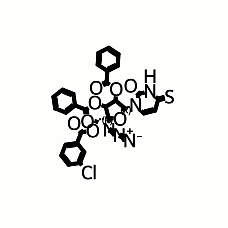 [N-]=[N+]=N[C@]1(COC(=O)c2cccc(Cl)c2)O[C@@H](n2ccc(=S)[nH]c2=O)C(OC(=O)c2ccccc2)C1OC(=O)c1ccccc1